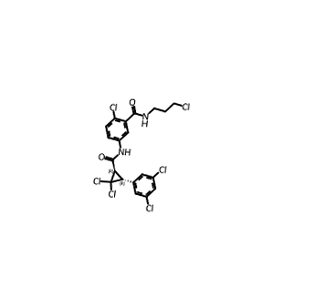 O=C(NCCCCl)c1cc(NC(=O)[C@H]2[C@H](c3cc(Cl)cc(Cl)c3)C2(Cl)Cl)ccc1Cl